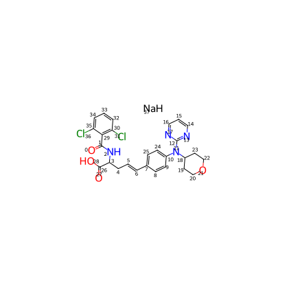 O=C(NC(CC=Cc1ccc(N(c2ncccn2)C2CCOCC2)cc1)C(=O)O)c1c(Cl)cccc1Cl.[NaH]